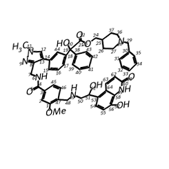 COc1cc(C(=O)NCc2nn(C)cc2-c2cccc(C(O)(C(=O)OCC3CCN(Cc4ccccc4)CC3)c3ccccc3)c2)ccc1CNCC(O)c1ccc(O)c2[nH]c(=O)ccc12